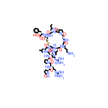 CCCC[C@@H]1NC(=O)[C@@H]2CCCN2C(=O)CNC(=O)[C@H](CCCCN)NC(=O)[C@H](Cc2cnc[nH]2)NC(=O)[C@@H](NC(=O)[C@H](CC(C)C)NC(=O)[C@H](CCCNC(=N)N)NC(=O)[C@@H]2CCCN2C(=O)[C@H](CCCNC(=N)N)NC(=O)[C@@H]2CCC(=O)N2)CSC[C@@H](C(=O)N[C@@H](Cc2ccccc2)C(=O)O)NC1=O